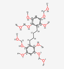 COCOc1cc(OC)c(OCOC)c(CCCCc2c(OC)c(OCOC)cc(OC)c2OCOC)c1OC